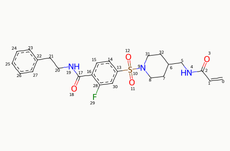 C=CC(=O)NCC1CCN(S(=O)(=O)c2ccc(C(=O)NCCc3ccccc3)c(F)c2)CC1